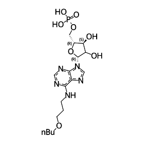 CCCCOCCCNc1ncnc2c1ncn2[C@@H]1O[C@H](COP(=O)(O)O)[C@@H](O)C1O